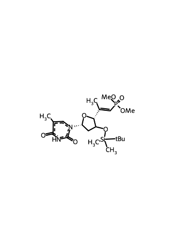 COP(=O)(/C=C(\C)[C@H]1O[C@@H](n2cc(C)c(=O)[nH]c2=O)CC1O[Si](C)(C)C(C)(C)C)OC